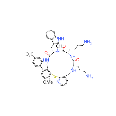 COc1ccc(-c2ccc(C(=O)O)cc2)c2c1Sc1ncccc1CN[C@@H](CCCN)C(=O)N[C@@H](CCCCN)C(=O)N(C)[C@@H](Cc1c[nH]c3ccccc13)C(=O)NC2